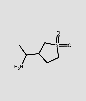 CC(N)C1CCS(=O)(=O)C1